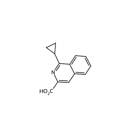 O=C(O)c1cc2ccccc2c(C2CC2)n1